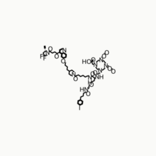 C#C[C@H]1CC(F)(F)CN1C(=O)CCC(=O)c1ccnc2ccc(OCCCCC3CCN(C(=O)CCCCCNC(=O)C(CCOCCNC(=O)CCCc4ccc(I)cc4)NC(=O)CN4CCN(COC=O)CCN(COC=O)CCN(CC(=O)O)CC4)CC3)cc12